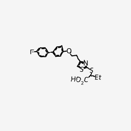 CCC(Sc1nc(CCOc2ccc(-c3ccc(F)cc3)cc2)cs1)C(=O)O